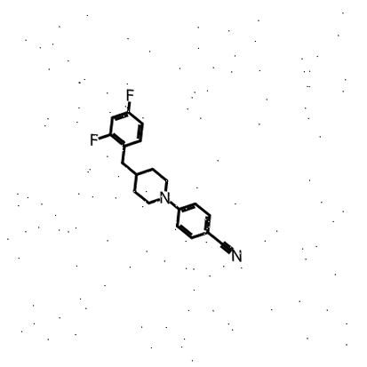 N#Cc1ccc(N2CCC(Cc3ccc(F)cc3F)CC2)cc1